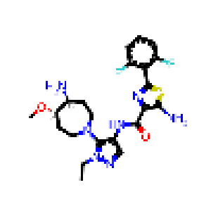 CCn1ncc(NC(=O)c2nc(-c3c(F)cccc3F)sc2N)c1N1CC[C@H](OC)[C@@H](N)CC1